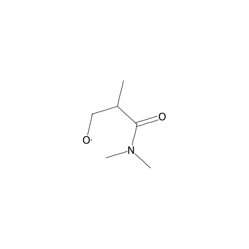 CC(C[O])C(=O)N(C)C